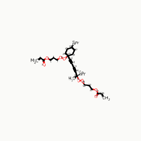 C=CC(=O)OCCCOOC1(C#CC#C[C@](C)(CCC)OOCCCOC(=O)C=C)CCC(CCC)CC1